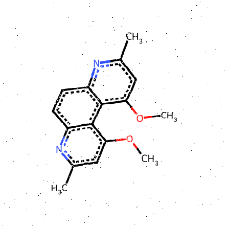 COc1cc(C)nc2ccc3nc(C)cc(OC)c3c12